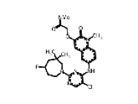 CNC(=O)COc1cc2cc(Nc3nc(N4CCC(F)CC(C)(C)C4)ncc3Cl)ccc2n(C)c1=O